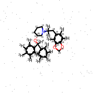 [2H]c1c([2H])c([2H])c(C([2H])(O[C@@H]2CCCN(C([2H])([2H])Cc3c([2H])c([2H])c4c(c3[2H])OCO4)C2)c2c([2H])c([2H])c([2H])c([2H])c2[2H])c([2H])c1[2H]